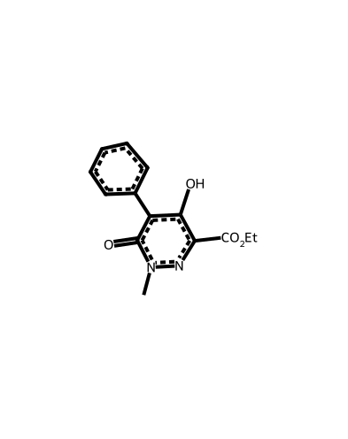 CCOC(=O)c1nn(C)c(=O)c(-c2ccccc2)c1O